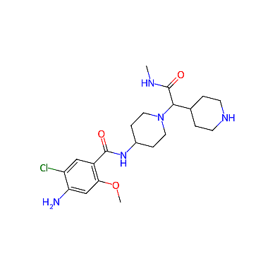 CNC(=O)C(C1CCNCC1)N1CCC(NC(=O)c2cc(Cl)c(N)cc2OC)CC1